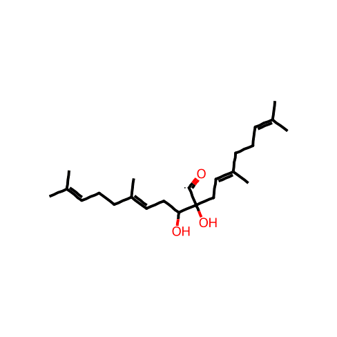 CC(C)=CCC/C(C)=C/CC(O)C(O)([C]=O)C/C=C(\C)CCC=C(C)C